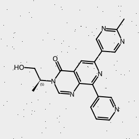 Cc1ncc(-c2cc3c(=O)n([C@@H](C)CO)cnc3c(-c3cccnc3)n2)cn1